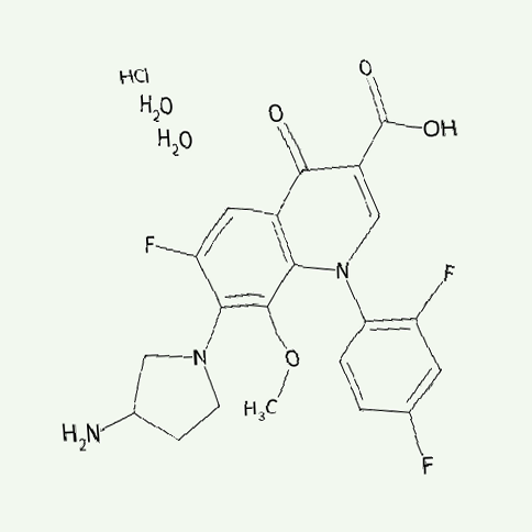 COc1c(N2CCC(N)C2)c(F)cc2c(=O)c(C(=O)O)cn(-c3ccc(F)cc3F)c12.Cl.O.O